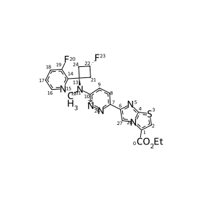 CCOC(=O)c1csc2nc(-c3ccc(N(C)[C@]4(c5ncccc5F)C[C@@H](F)C4)nn3)cn12